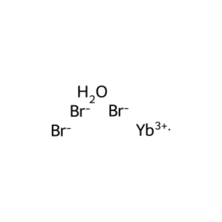 O.[Br-].[Br-].[Br-].[Yb+3]